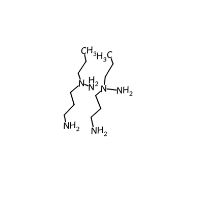 CCCN(N)CCCN.CCCN(N)CCCN